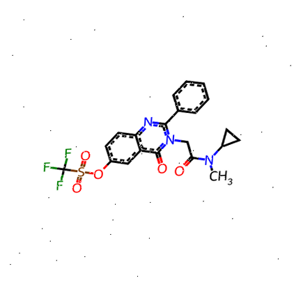 CN(C(=O)Cn1c(-c2ccccc2)nc2ccc(OS(=O)(=O)C(F)(F)F)cc2c1=O)C1CC1